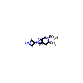 CC1Cc2cn(C3CNC3)nc2CN1C(=O)O